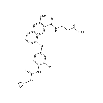 COc1cc2nccc(Oc3ccc(NC(=O)NC4CC4)c(Cl)c3)c2cc1C(=O)NCCNC(=O)O